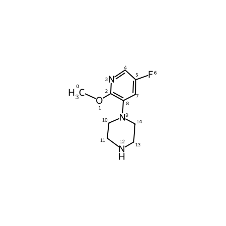 COc1ncc(F)cc1N1CCNCC1